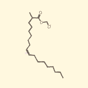 CCCCCCCC/C=C\CCCCCCC(C)C(=O)OCCl